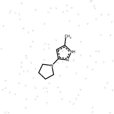 Cc1cc(N2CCCC2)n[nH]1